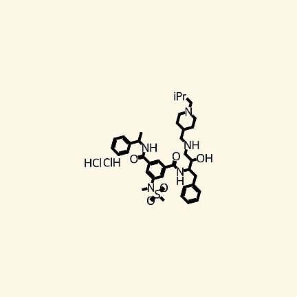 CC(C)CN1CCC(CNCC(O)C(Cc2ccccc2)NC(=O)c2cc(C(=O)NC(C)c3ccccc3)cc(N(C)S(C)(=O)=O)c2)CC1.Cl.Cl